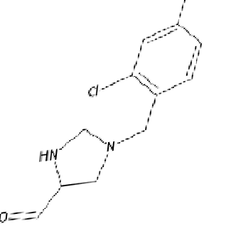 O=CC1CN(Cc2ccc(Cl)cc2Cl)CN1